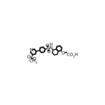 CS(=O)(=O)c1cncc(-c2ccc(S(=O)(=O)NC3CCCc4c(OCC(=O)O)cccc43)cc2)c1